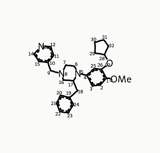 COc1ccc(N2CCN(Cc3ccncc3)CC2Cc2ccccc2)cc1OC1CCCC1